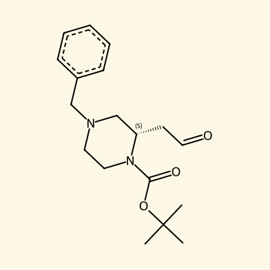 CC(C)(C)OC(=O)N1CCN(Cc2ccccc2)C[C@@H]1CC=O